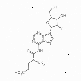 N[C@@H](CCC(=O)O)C(=O)Nc1ncnc2c1ncn2[C@@H]1O[C@H](CO)[C@@H](O)[C@H]1O